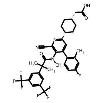 Cc1cc(F)ccc1-c1cc([C@H]2CC[C@@H](CC(=O)O)CC2)nc(C#N)c1N(C)C(=O)C(C)(C)c1cc(C(F)(F)F)cc(C(F)(F)F)c1